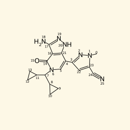 Cn1nc(-c2cn(C(C3CC3)C3CC3)c(=O)c3c(N)n[nH]c23)cc1C#N